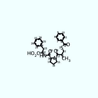 CC(CSC(=O)c1ccccc1)C(=O)N1CCC[C@H]1C(=O)N[C@@H](Cc1ccccc1)C(=O)O